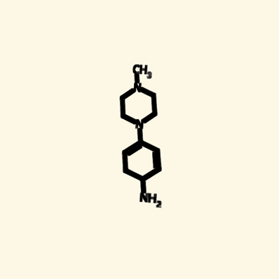 CN1CCN(C2=CCC(N)C=C2)CC1